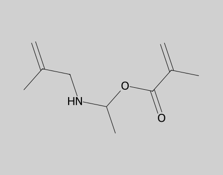 C=C(C)CNC(C)OC(=O)C(=C)C